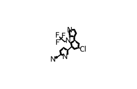 N#Cc1ccc(-c2cc(Cl)cc3c4ccncc4n(CC(F)(F)F)c23)cn1